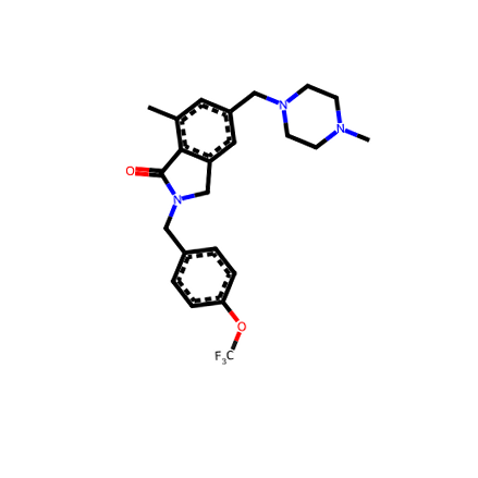 Cc1cc(CN2CCN(C)CC2)cc2c1C(=O)N(Cc1ccc(OC(F)(F)F)cc1)C2